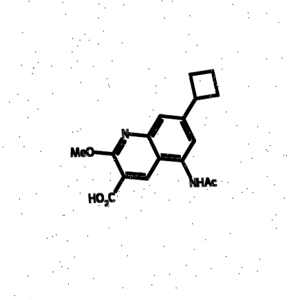 COc1nc2cc(C3CCC3)cc(NC(C)=O)c2cc1C(=O)O